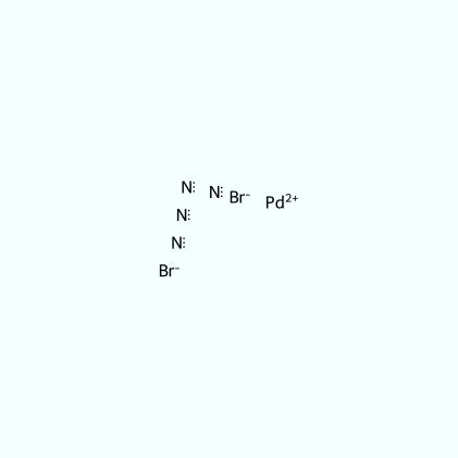 [Br-].[Br-].[N].[N].[N].[N].[Pd+2]